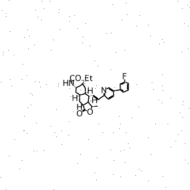 CCOC(=O)N[C@@H]1CC[C@@H]2[C@H](C1)C[C@@H]1C(=O)O[C@H](C)[C@@H]1[C@H]2/C=C/c1ccc(-c2cccc(F)c2)cn1